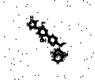 CN(c1ccc(-c2cc(F)c(-c3cn[nH]c3)cc2O)nn1)[C@H]1C[C@H]2CCC[C@@H](C1)N2